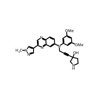 COc1cc(OC)cc(N(CC#CC2(O)CCNC2)c2ccc3ncc(-c4cnn(C)c4)nc3c2)c1